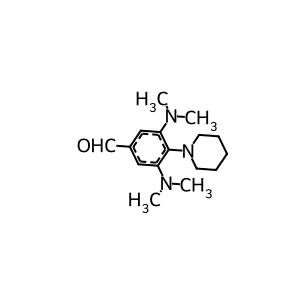 CN(C)c1cc(C=O)cc(N(C)C)c1N1CCCCC1